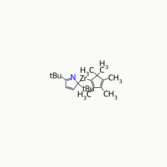 CC1=C(C)C(C)(C)[C]([Zr][C]2(C(C)(C)C)C=CC(C(C)(C)C)=N2)=C1C